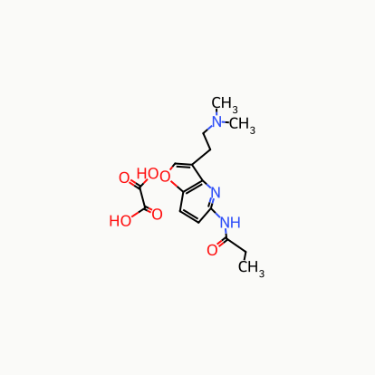 CCC(=O)Nc1ccc2occ(CCN(C)C)c2n1.O=C(O)C(=O)O